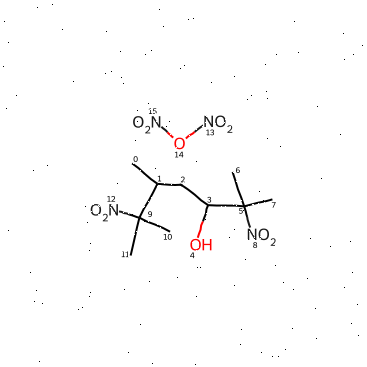 CC(CC(O)C(C)(C)[N+](=O)[O-])C(C)(C)[N+](=O)[O-].O=[N+]([O-])O[N+](=O)[O-]